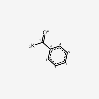 O=[C]([K])c1ccccc1